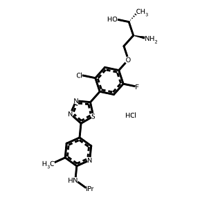 Cc1cc(-c2nnc(-c3cc(F)c(OC[C@H](N)[C@@H](C)O)cc3Cl)s2)cnc1NC(C)C.Cl